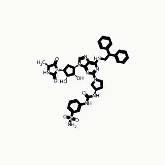 C[C@@H]1NC(=O)N([C@H]2C[C@@H](n3cnc4c(NCC(c5ccccc5)c5ccccc5)nc(N5CC[C@@H](NC(=O)Nc6cccc(S(N)(=O)=O)c6)C5)nc43)[C@H](O)[C@@H]2O)C1=O